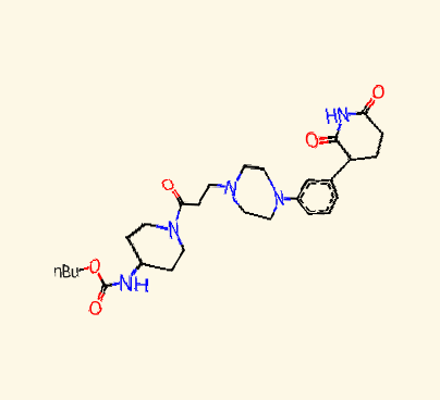 CCCCOC(=O)NC1CCN(C(=O)CCN2CCN(c3cccc(C4CCC(=O)NC4=O)c3)CC2)CC1